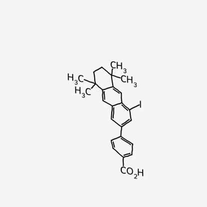 CC1(C)CCC(C)(C)c2cc3c(I)cc(-c4ccc(C(=O)O)cc4)cc3cc21